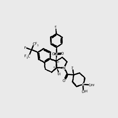 O=C(N1CC[C@@]2(S(=O)(=O)c3ccc(F)cc3)c3ccc(C(F)(C(F)(F)F)C(F)(F)F)cc3CC[C@@H]12)C1(F)CCS(O)(O)CC1